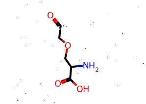 NC(COC[C]=O)C(=O)O